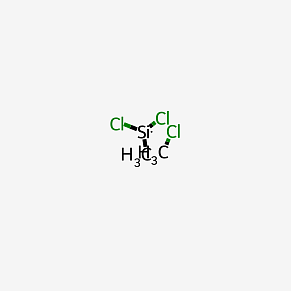 CCl.C[Si](Cl)Cl